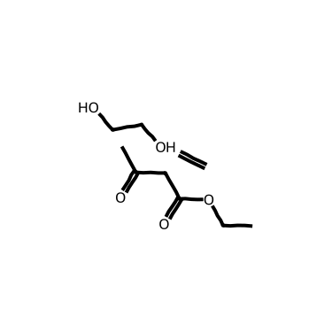 C=C.CCOC(=O)CC(C)=O.OCCO